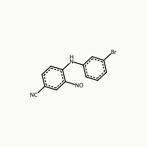 N#Cc1ccc(Nc2cccc(Br)c2)c(N=O)c1